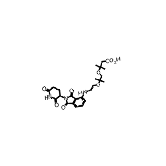 CC(C)(COC(C)(C)CC(=O)O)OCCNc1cccc2c1C(=O)N(C1CCC(=O)NC1=O)C2=O